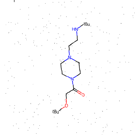 CC(C)(C)NCCN1CCN(C(=O)COC(C)(C)C)CC1